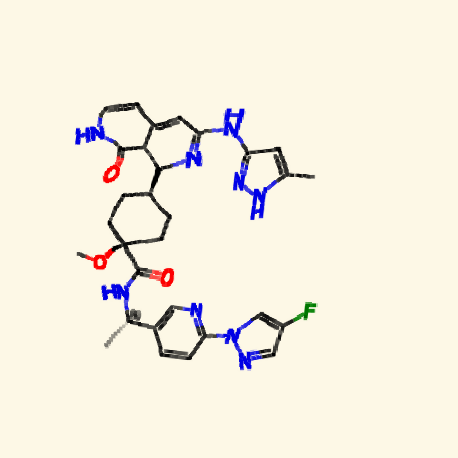 CO[C@]1(C(=O)N[C@@H](C)c2ccc(-n3cc(F)cn3)nc2)CC[C@H](C2N=C(Nc3cc(C)[nH]n3)C=C3C=CNC(=O)C32)CC1